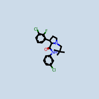 CC(C)(C)CN1CCC(c2cccc(Cl)c2F)C1C(=O)Nc1cccc(Cl)c1